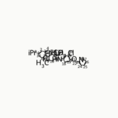 CC(C)C1=CC2=CC[C@@H]3[C@H]([C@@H](C)CC[C@@]3(C)C(=O)Nc3ccc(OCc4ccccn4)c(Cl)c3)[C@H]2CC1